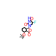 C[Si](C)(C)Oc1cccc2c1C(=O)OC2n1cc(F)c(=O)[nH]c1=O